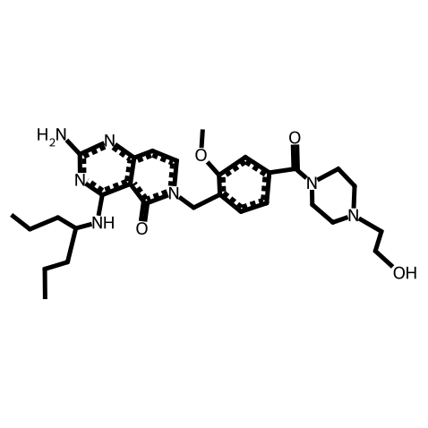 CCCC(CCC)Nc1nc(N)nc2ccn(Cc3ccc(C(=O)N4CCN(CCO)CC4)cc3OC)c(=O)c12